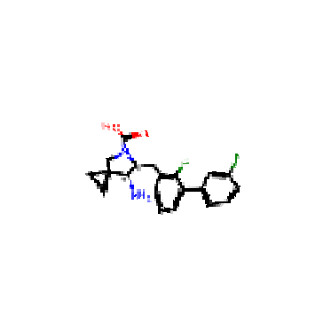 N[C@@H]1[C@H](Cc2cccc(-c3cccc(F)c3)c2F)N(C(=O)O)CC12CC2